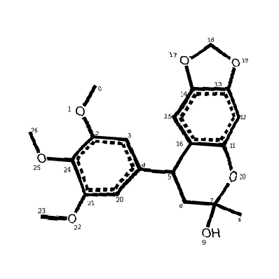 COc1cc(C2CC(C)(O)Oc3cc4c(cc32)OCO4)cc(OC)c1OC